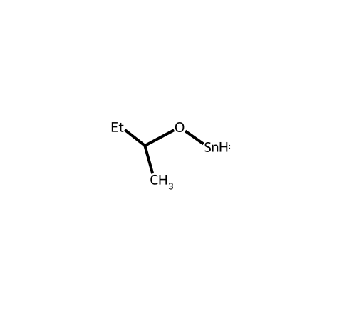 CCC(C)[O][SnH]